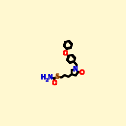 NC(=O)SCCCC1CC(=O)N(Cc2ccc(Oc3ccccc3)cc2)C1